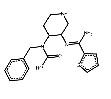 NC(=NC1CNCCC1N(Cc1ccccc1)C(=O)O)c1cccs1